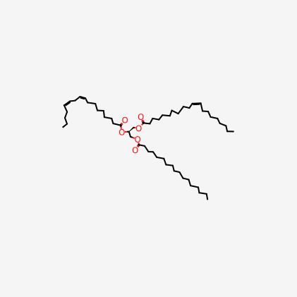 CCCC/C=C\C/C=C\CCCCCCCC(=O)O[C@@H](COC(=O)CCCCCCCCC/C=C\CCCCCCCC)COC(=O)CCCCCCCCCCCCCCCC